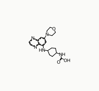 O=C(O)NC1CCC(Nc2cc(N3CCOCC3)cc3nccnc23)CC1